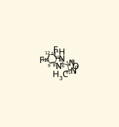 Cc1nonc1-c1nc2cc(F)cc(F)c2[nH]1